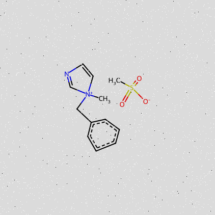 CS(=O)(=O)[O-].C[N+]1(Cc2ccccc2)C=CN=C1